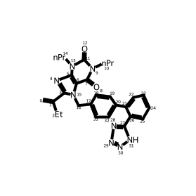 C=C(CC)c1nc2c(c(=O)n(CCC)c(=O)n2CCC)n1Cc1ccc(-c2ccccc2-c2nnn[nH]2)cc1